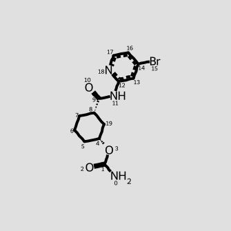 NC(=O)O[C@@H]1CCC[C@H](C(=O)Nc2cc(Br)ccn2)C1